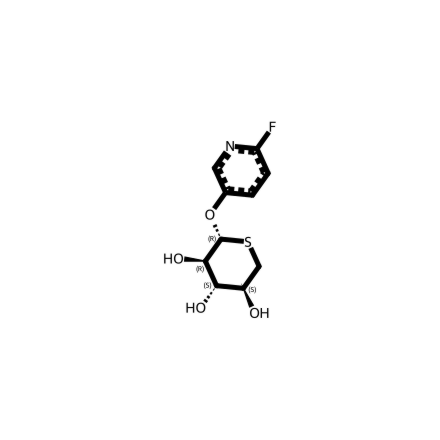 O[C@@H]1[C@@H](O)[C@H](Oc2ccc(F)nc2)SC[C@H]1O